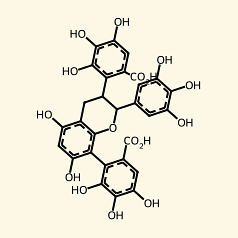 O=C(O)c1cc(O)c(O)c(O)c1-c1c(O)cc(O)c2c1OC(c1cc(O)c(O)c(O)c1)C(c1c(C(=O)O)cc(O)c(O)c1O)C2